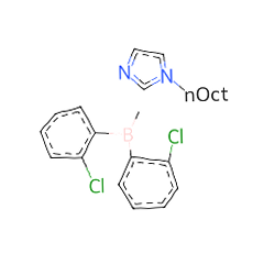 CB(c1ccccc1Cl)c1ccccc1Cl.CCCCCCCCn1ccnc1